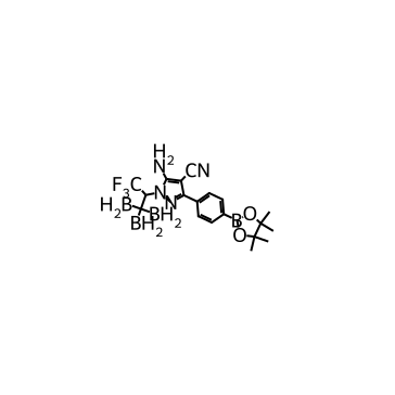 BC(B)(B)C(n1nc(-c2ccc(B3OC(C)(C)C(C)(C)O3)cc2)c(C#N)c1N)C(F)(F)F